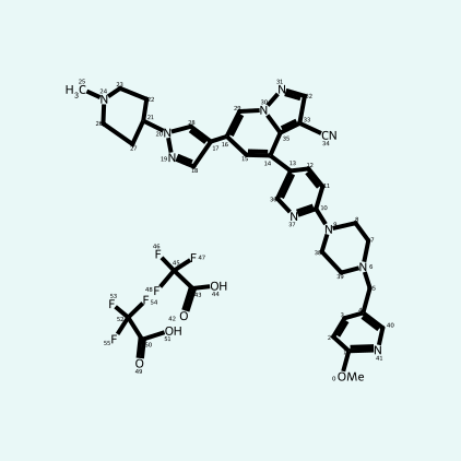 COc1ccc(CN2CCN(c3ccc(-c4cc(-c5cnn(C6CCN(C)CC6)c5)cn5ncc(C#N)c45)cn3)CC2)cn1.O=C(O)C(F)(F)F.O=C(O)C(F)(F)F